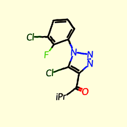 CC(C)C(=O)c1nnn(-c2cccc(Cl)c2F)c1Cl